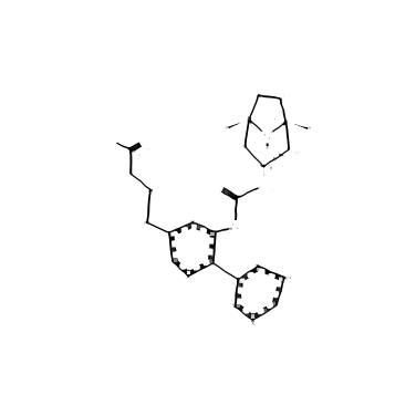 CN1[C@@H]2CC[C@H]1C[C@@H](OC(=O)Nc1cc(CCCC(=O)O)ccc1-c1ccccc1)C2